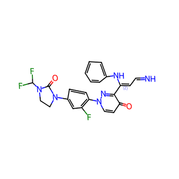 N=C/C=C(\Nc1ccccc1)c1nn(-c2ccc(N3CCN(C(F)F)C3=O)cc2F)ccc1=O